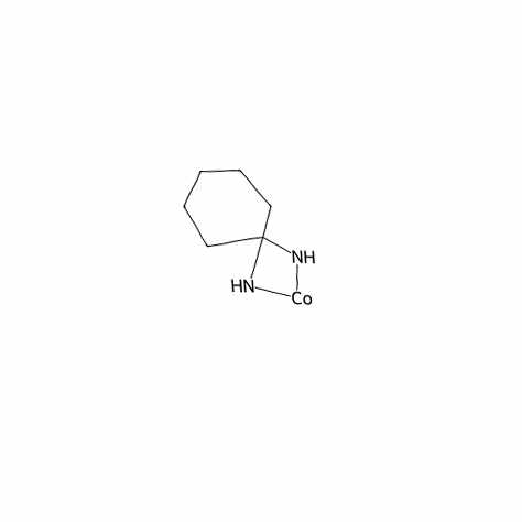 C1CCC2(CC1)[NH][Co][NH]2